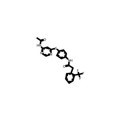 CC(=O)Nc1cc(Sc2ccc(NC(=O)Cc3ccccc3C(F)(F)F)cc2)ncn1